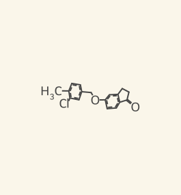 Cc1ccc(COc2ccc3c(c2)CCC3=O)cc1Cl